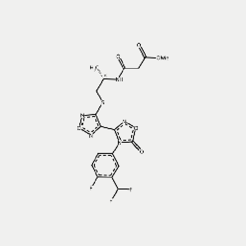 COC(=O)CC(=O)N[C@@H](C)CSc1nonc1-c1noc(=O)n1-c1ccc(F)c(C(F)F)c1